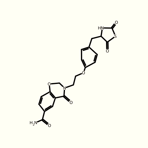 NC(=O)c1ccc2c(c1)C(=O)N(CCOc1ccc(CC3NC(=O)SC3=O)cc1)CO2